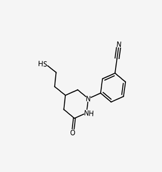 N#Cc1cccc(N2CC(CCS)CC(=O)N2)c1